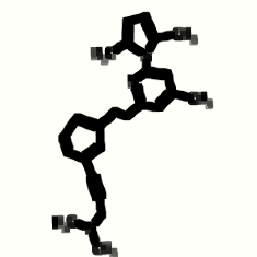 Cc1cc(CCc2cccc(C#CCN(C)C)c2)nc(-n2c(C)ccc2C)c1